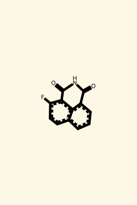 O=C1NC(=O)c2c(F)ccc3cccc1c23